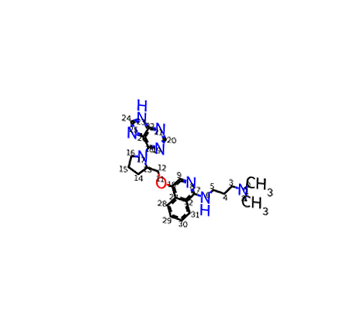 CN(C)CCCNc1ncc(OCC2CCCN2c2ncnc3[nH]cnc23)c2ccccc12